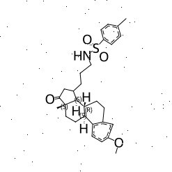 COc1ccc2c(c1)CC[C@@H]1[C@@H]2CC[C@]2(C)C(=O)CC(CCCNS(=O)(=O)c3ccc(C)cc3)[C@@H]12